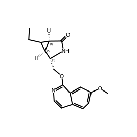 CCC1[C@H]2[C@@H]1C(=O)N[C@@H]2COc1nccc2ccc(OC)cc12